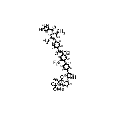 COC(=O)N[C@H](C(=O)N1CCC[C@H]1c1nc(-c2ccc(-c3cc(Cl)c(NC(=O)c4ccc(N5C[C@H](C)N(C(=O)c6c[nH]cn6)C[C@H]5C)nc4)cc3C(F)(F)F)cc2)c[nH]1)C(C)C